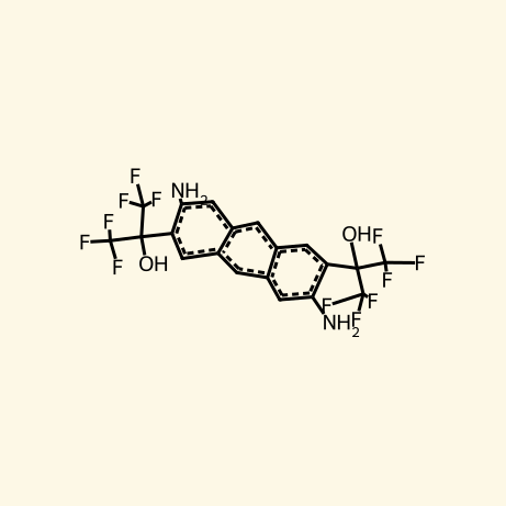 Nc1cc2cc3cc(C(O)(C(F)(F)F)C(F)(F)F)c(N)cc3cc2cc1C(O)(C(F)(F)F)C(F)(F)F